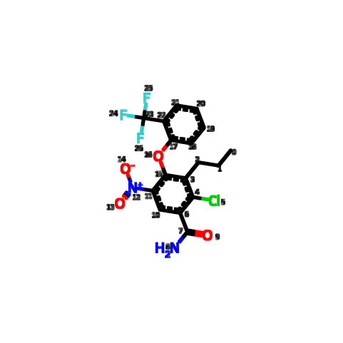 CCCc1c(Cl)c(C(N)=O)cc([N+](=O)[O-])c1Oc1ccccc1C(F)(F)F